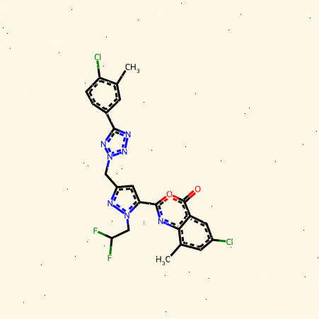 Cc1cc(-c2nnn(Cc3cc(-c4nc5c(C)cc(Cl)cc5c(=O)o4)n(CC(F)F)n3)n2)ccc1Cl